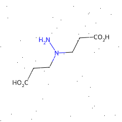 NN(CCC(=O)O)CCC(=O)O